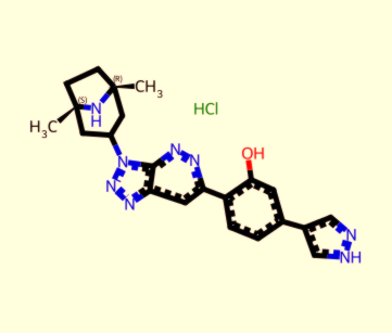 C[C@]12CC[C@](C)(CC(n3nnc4cc(-c5ccc(-c6cn[nH]c6)cc5O)nnc43)C1)N2.Cl